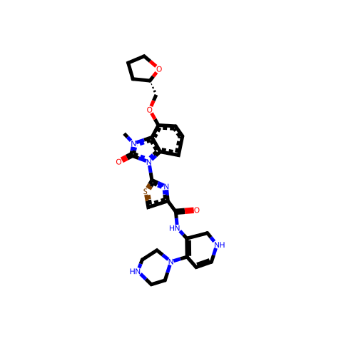 Cn1c(=O)n(-c2nc(C(=O)NC3=C(N4CCNCC4)C=CNC3)cs2)c2cccc(OC[C@@H]3CCCO3)c21